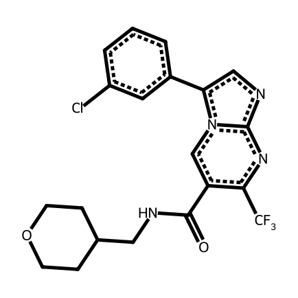 O=C(NCC1CCOCC1)c1cn2c(-c3cccc(Cl)c3)cnc2nc1C(F)(F)F